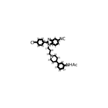 [C-]#[N+]c1ccc2c(c1)nc(-c1ccc(Cl)cc1)n2CCCN1CCC(c2cccc(NC(C)=O)c2)CC1